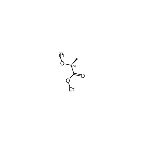 CCOC(=O)[C@H](C)OC(C)C